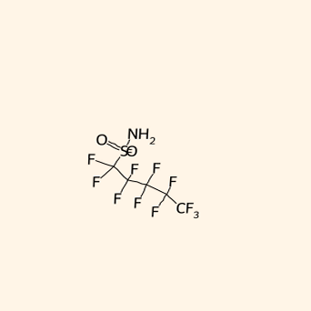 NS(=O)(=O)C(F)(F)C(F)(F)C(F)(F)C(F)(F)C(F)(F)F